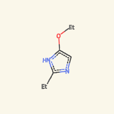 [CH2]Cc1ncc(OCC)[nH]1